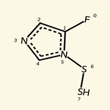 Fc1cncn1SS